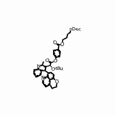 CCCCCCCCCCCCCCOC(=O)c1ccc(OC(=O)[C@@H](OC(C)(C)C)c2c(C)nc3ccccc3c2-c2ccc3c4c(ccnc24)CCO3)cc1